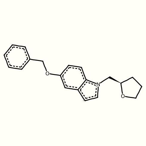 [c]1cn(C[C@H]2CCCO2)c2ccc(OCc3ccccc3)cc12